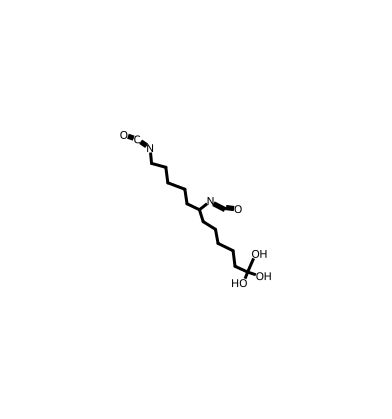 O=C=NCCCCCC(CCCCCC(O)(O)O)N=C=O